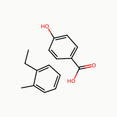 CCc1ccccc1C.O=C(O)c1ccc(O)cc1